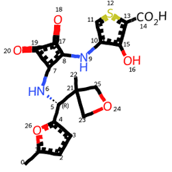 Cc1ccc([C@H](Nc2c(Nc3csc(C(=O)O)c3O)c(=O)c2=O)C2(C)COC2)o1